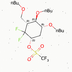 CCCCOC[C@@H]1[C@@H](OCCCC)[C@H](OCCCC)C[C@H](OS(=O)(=O)C(F)(F)F)C1(F)F